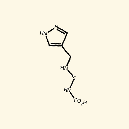 O=C(O)NSNCc1cn[nH]c1